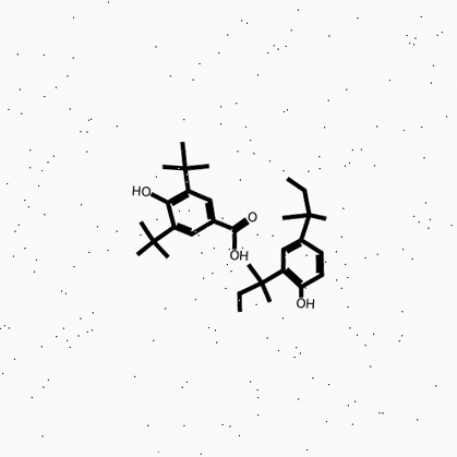 CC(C)(C)c1cc(C(=O)O)cc(C(C)(C)C)c1O.CCC(C)(C)c1ccc(O)c(C(C)(C)CC)c1